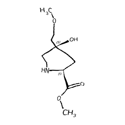 COC[C@@]1(O)CN[C@H](C(=O)OC)C1